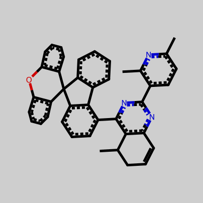 Cc1ccc(-c2nc3c(c(-c4cccc5c4-c4ccccc4C54c5ccccc5Oc5ccccc54)n2)C(C)CC=C3)c(C)n1